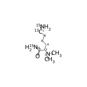 CN(C)C(CCC[13CH2][15NH2])C([15NH2])=O